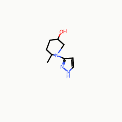 CC1CCC(O)CN1c1cc[nH]n1